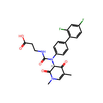 CC1=CN(C)C(=O)[C@@H](N(C(=O)NCCC(=O)O)c2ccc(-c3ccc(F)cc3F)cc2)C1=O